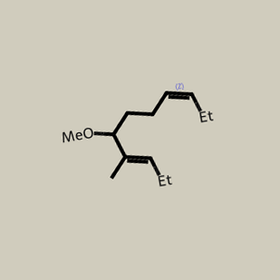 CCC=C(C)C(CC/C=C\CC)OC